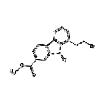 COC(=O)c1ccc2c(c1)C(=O)c1c(CCBr)cccc1-2